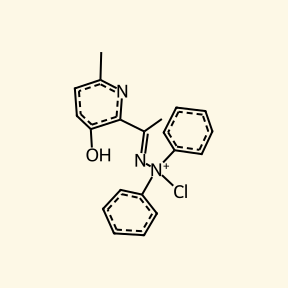 CC(=N[N+](Cl)(c1ccccc1)c1ccccc1)c1nc(C)ccc1O